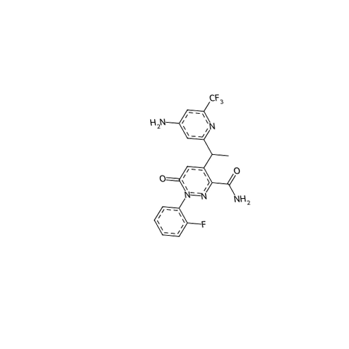 CC(c1cc(N)cc(C(F)(F)F)n1)c1cc(=O)n(-c2ccccc2F)nc1C(N)=O